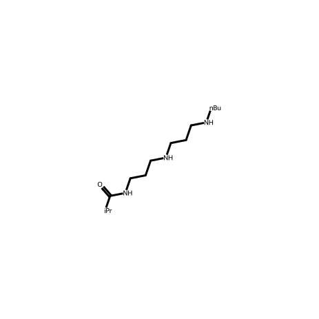 CCCCNCCCNCCCNC(=O)C(C)C